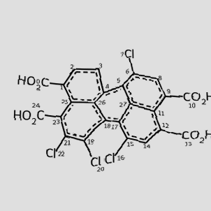 O=C(O)c1ccc2c3c(Cl)cc(C(=O)O)c4c(C(=O)O)cc(Cl)c(c5c(Cl)c(Cl)c(C(=O)O)c1c25)c43